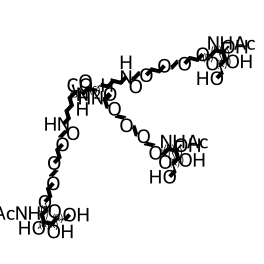 CC(=O)N[C@H]1[C@H](OCCOCCOCCOCC(=O)NCCCC[C@H](NC(=O)[C@H](CCCCNC(=O)COCCOCCOCCO[C@@H]2O[C@H](CO)[C@H](O)[C@H](O)[C@H]2NC(C)=O)NC(=O)COCCOCCOCCO[C@@H]2O[C@H](CO)[C@H](O)[C@H](O)[C@H]2NC(C)=O)C(=O)O)O[C@H](CO)[C@H](O)[C@@H]1O